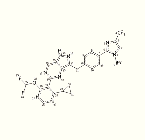 CC(C)n1cc(C(F)(F)F)nc1-c1ccc(Cc2n[nH]c3cnc(-c4c(OC(F)F)ncnc4C4CC4)nc23)cc1